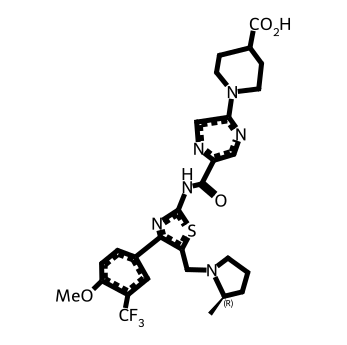 COc1ccc(-c2nc(NC(=O)c3cnc(N4CCC(C(=O)O)CC4)cn3)sc2CN2CCC[C@H]2C)cc1C(F)(F)F